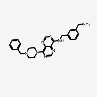 NCc1cccc(CNc2ncnc3c(N4CCN(Cc5ccccc5)CC4)ncnc23)c1